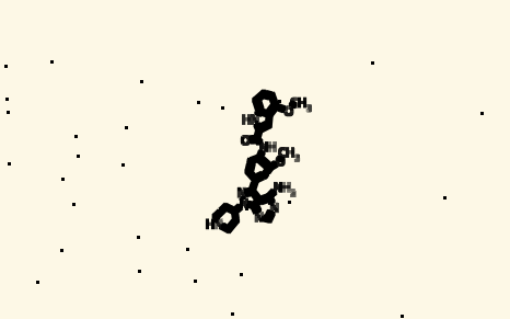 COc1cc(-c2nn(C3CCNCC3)c3ncnc(N)c23)ccc1NC(=O)c1cc2c(OC)cccc2[nH]1